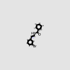 O=C(N/C=C/c1cccc(Br)c1)c1ccccc1